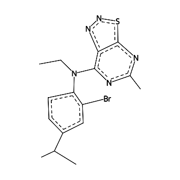 CCN(c1ccc(C(C)C)cc1Br)c1nc(C)nc2snnc12